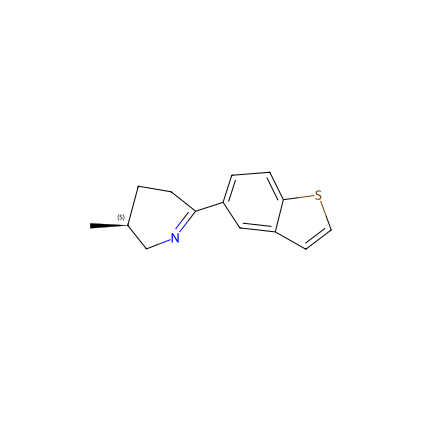 C[C@H]1CCC(c2ccc3sccc3c2)=NC1